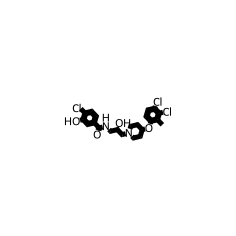 Cc1c(OC2CCN(C[C@H](O)CNC(=O)c3ccc(Cl)c(O)c3)CC2)ccc(Cl)c1Cl